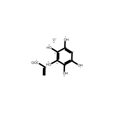 C=CC(=O)[O-].Oc1cc(O)c(O)c(O)c1O.[Li+]